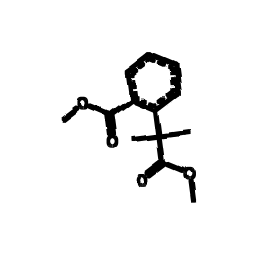 COC(=O)c1ccccc1C(C)(C)C(=O)OC